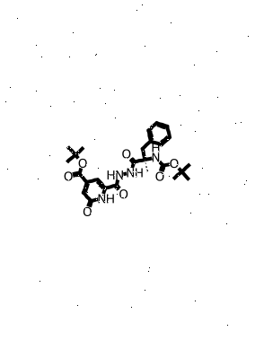 CC(C)(C)OC(=O)N[C@](C)(Cc1ccccc1)C(=O)NNC(=O)c1cc(C(=O)OC(C)(C)C)cc(=O)[nH]1